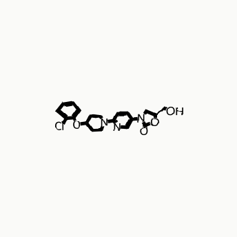 O=C1O[C@H](CO)CN1c1ccc(N2CCC(Oc3ccccc3Cl)CC2)nc1